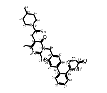 CCCCc1nc(C)c(CC(=S)N2CCC(C)CC2)c(=O)n1Cc1ccc(-c2ccccc2-c2noc(=O)[nH]2)cc1